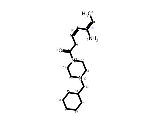 C/C=C(N)\C=C/CC(=O)N1CCN(CC2CCCCC2)CC1